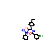 CCc1ccc(C(NC(=O)c2cccc(Cl)c2)C(=O)NC(=N)c2ccccc2)cc1